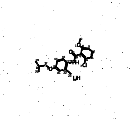 COc1cccc(Cl)c1C(=O)Pc1ccc(OCC(C)C)cc1C.[LiH]